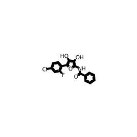 O=C(Nc1oc(-c2ccc(Cl)cc2F)c(O)c1O)c1ccccc1